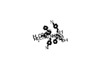 CC(C)(C)OC(=O)Cn1c(-c2ccccc2)ncc(NCCc2ccc(C#N)cc2)c1=O.N#Cc1ccc(CCNc2cnc(-c3ccccc3)n(CC(=O)O)c2=O)cc1